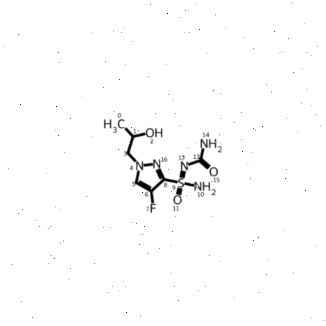 CC(O)Cn1cc(F)c(S(N)(=O)=NC(N)=O)n1